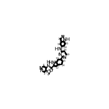 COc1cnncc1NC(=O)c1cc2ccc(-c3nccc(Nc4ccc5[nH]ncc5c4)n3)cc2[nH]1